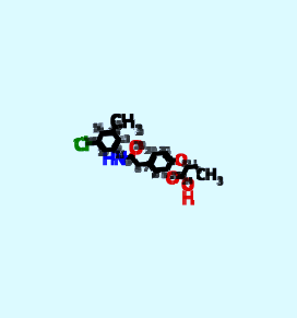 CCC(Oc1ccc(CC(=O)Nc2cc(C)cc(Cl)c2)cc1)C(=O)O